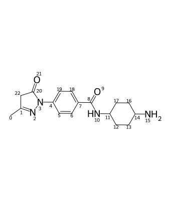 CC1=NN(c2ccc(C(=O)NC3CCC(N)CC3)cc2)C(=O)C1